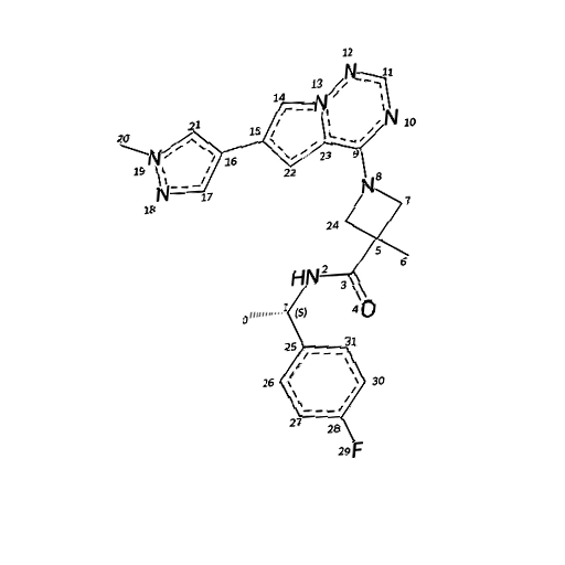 C[C@H](NC(=O)C1(C)CN(c2ncnn3cc(-c4cnn(C)c4)cc23)C1)c1ccc(F)cc1